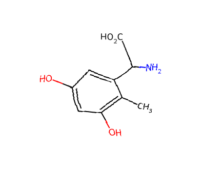 Cc1c(O)cc(O)cc1C(N)C(=O)O